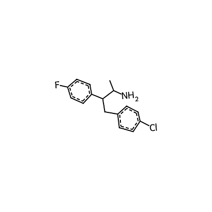 CC(N)C(Cc1ccc(Cl)cc1)c1ccc(F)cc1